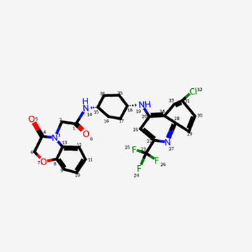 O=C(CN1C(=O)COc2ccccc21)N[C@H]1CC[C@@H](Nc2cc(C(F)(F)F)nc3ccc(Cl)cc23)CC1